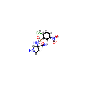 N#C[C@@]1(NS(=O)(=O)c2cc([N+](=O)[O-])ccc2Br)CCNC1